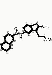 CNCCC1=C(C)Cc2ccc(N[S+]([O-])c3ccc4ccccc4c3)cc21